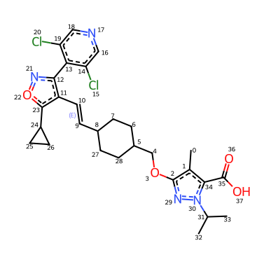 Cc1c(OCC2CCC(/C=C/c3c(-c4c(Cl)cncc4Cl)noc3C3CC3)CC2)nn(C(C)C)c1C(=O)O